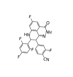 N#Cc1ccc(C2c3n[nH]c(=O)c4cc(F)cc(c34)NC2c2c(F)cc(F)cc2F)cc1F